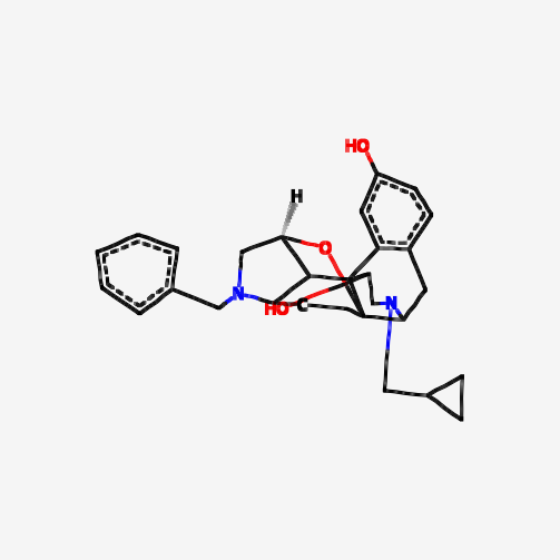 Oc1ccc2c(c1)C13C(O)CN(CC4CC4)C(C2)C12CCC1C3[C@@H](CN1Cc1ccccc1)O2